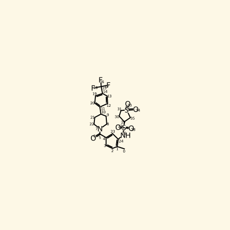 Cc1ccc(C(=O)N2CCC(c3ccc(C(F)(F)F)cc3)CC2)cc1NS(=O)(=O)C1CCS(=O)(=O)C1